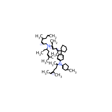 C=CC[C@H](C)/C=C\CN(/C(C=C)=C/C=C(\C)C1(C2CC=C(N(C(=C)CC/C(C)=C\C)C3=CC[C@H](C)CC3)CC2)CCCCC1)C(CC)CC=C(C)C